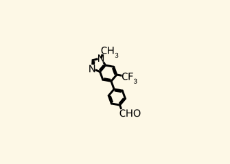 Cn1cnc2cc(-c3ccc(C=O)cc3)c(C(F)(F)F)cc21